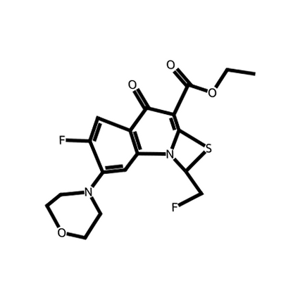 CCOC(=O)c1c2n(c3cc(N4CCOCC4)c(F)cc3c1=O)C(CF)S2